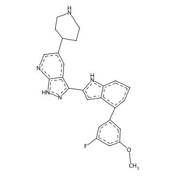 COc1cc(F)cc(-c2cccc3[nH]c(-c4n[nH]c5ncc(C6CCNCC6)cc45)cc23)c1